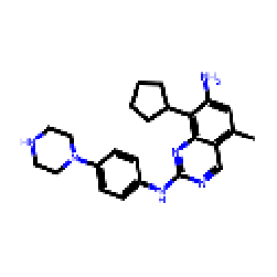 Cc1cc(N)c(C2CCCC2)c2nc(Nc3ccc(N4CCNCC4)cc3)ncc12